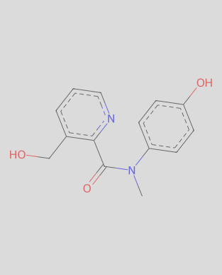 CN(C(=O)c1ncccc1CO)c1ccc(O)cc1